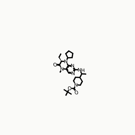 CC[C@@H]1C(=O)N(C)c2cnc(NC(C)C3CCN(C(=O)OC(C)(C)C)CC3)nc2N1C1CCCC1